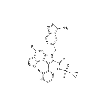 Nc1noc2ccc(Cn3c(C(=O)NS(=O)(=O)C4CC4)c(-c4ccc[nH]c4=O)c4c5occc5c(F)cc43)cc12